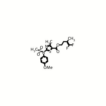 COc1ccc(N(c2nc(C)c(C(=O)OCCC(C)=C(F)F)s2)S(C)(=O)=O)cc1